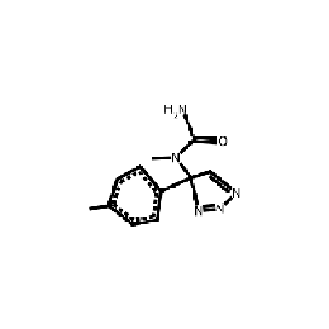 Cc1ccc(C2(N(C)C(N)=O)C=NN=N2)cc1